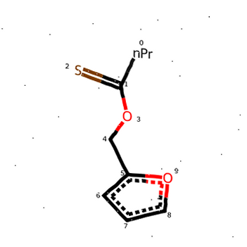 CCCC(=S)OCc1ccco1